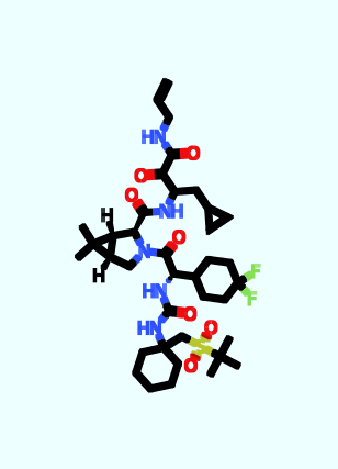 C=CCNC(=O)C(=O)C(CC1CC1)NC(=O)[C@@H]1[C@@H]2[C@H](CN1C(=O)[C@@H](NC(=O)NC1(CS(=O)(=O)C(C)(C)C)CCCCC1)C1CCC(F)(F)CC1)C2(C)C